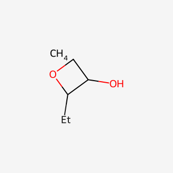 C.CCC1OCC1O